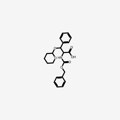 O=C(NC(C(=O)O)C(OC1CCCCO1)c1ccccc1)OCc1ccccc1